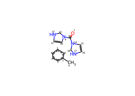 Cc1ccccc1.O=C(N1C=CNC1)N1C=CNC1